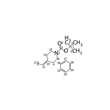 CC(C)(C)OC(=O)N1CCC(=CI)CC1.c1ccccc1